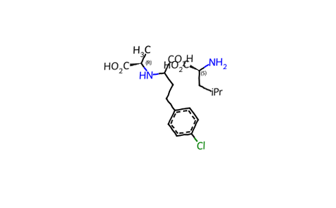 CC(C)C[C@H](N)C(=O)O.C[C@@H](NC(CCc1ccc(Cl)cc1)C(=O)O)C(=O)O